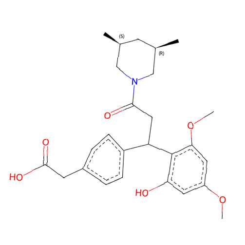 COc1cc(O)c(C(CC(=O)N2C[C@H](C)C[C@H](C)C2)c2ccc(CC(=O)O)cc2)c(OC)c1